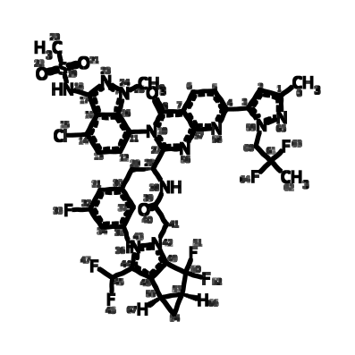 Cc1cc(-c2ccc3c(=O)n(-c4ccc(Cl)c5c(NS(C)(=O)=O)nn(C)c45)c([C@H](Cc4cc(F)cc(F)c4)NC(=O)Cn4nc(C(F)F)c5c4C(F)(F)[C@@H]4C[C@H]54)nc3n2)n(CC(C)(F)F)n1